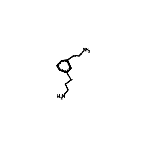 NCC[CH]c1cccc(CCN)c1